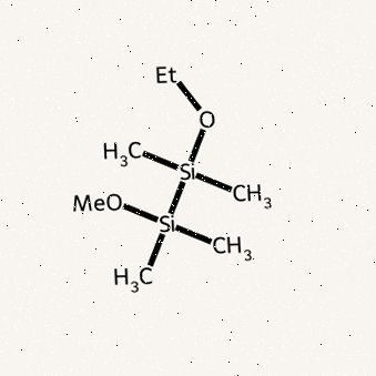 CCO[Si](C)(C)[Si](C)(C)OC